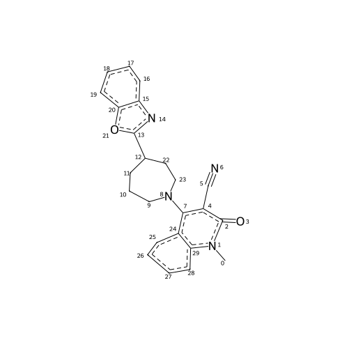 Cn1c(=O)c(C#N)c(N2CCCC(c3nc4ccccc4o3)CC2)c2ccccc21